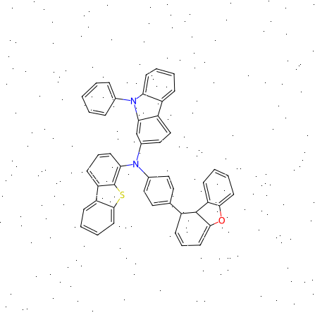 C1=CC(c2ccc(N(c3ccc4c5ccccc5n(-c5ccccc5)c4c3)c3cccc4c3sc3ccccc34)cc2)C2C(=C1)Oc1ccccc12